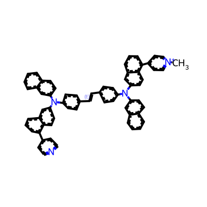 C[n+]1ccc(-c2cccc3cc(N(c4ccc(/C=C/c5ccc(N(c6ccc7ccccc7c6)c6ccc7c(-c8ccncc8)cccc7c6)cc5)cc4)c4ccc5ccccc5c4)ccc23)cc1